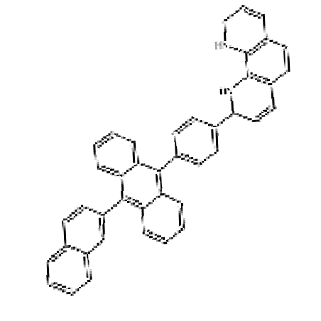 C1=Cc2ccc3c(c2NC1)NC(c1ccc(-c2c4ccccc4c(-c4ccc5ccccc5c4)c4ccccc24)cc1)C=C3